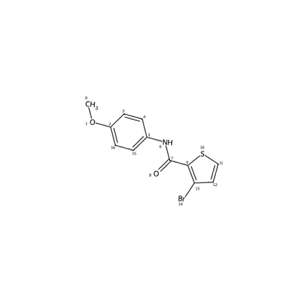 COc1ccc(NC(=O)c2sccc2Br)cc1